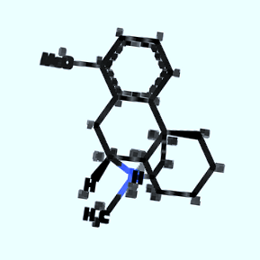 COc1cccc2c1C[C@@H]1[C@@H]3CCCC[C@]23CCN1C